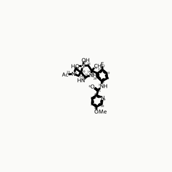 COc1ccc(C(=O)Nc2ccc(F)c(C3(C)CS(O)(O)C4(CN(C(C)=O)C4)C(=N)N3)c2)nc1